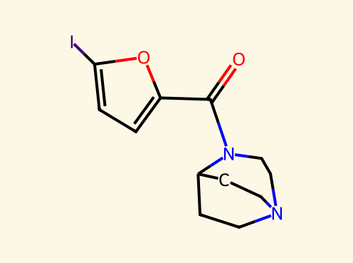 O=C(c1ccc(I)o1)N1CCN2CCC1CC2